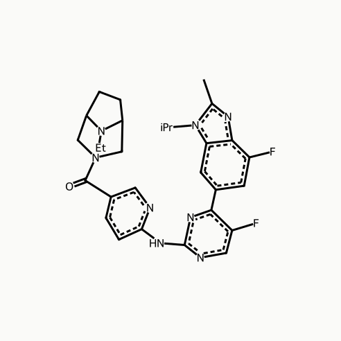 CCN1C2CCC1CN(C(=O)c1ccc(Nc3ncc(F)c(-c4cc(F)c5nc(C)n(C(C)C)c5c4)n3)nc1)C2